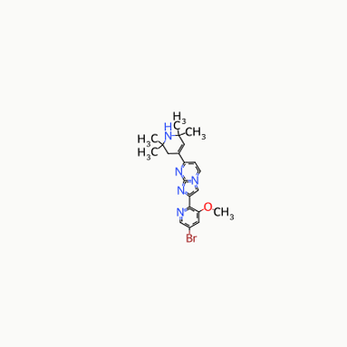 COc1cc(Br)cnc1-c1cn2ccc(C3=CC(C)(C)NC(C)(C)C3)nc2n1